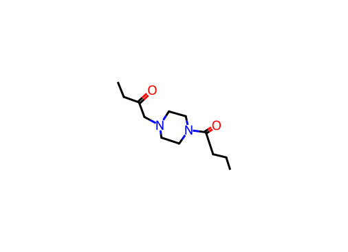 CCCC(=O)N1CCN(CC(=O)CC)CC1